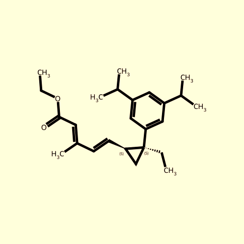 CCOC(=O)C=C(C)C=C[C@@H]1C[C@]1(CC)c1cc(C(C)C)cc(C(C)C)c1